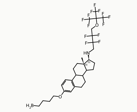 BCCCCOc1ccc2c(c1)CCC1C2CC[C@@]2(C)C1CC[C@@H]2NCC(F)(F)C(F)(F)COC(C(F)(F)F)(C(F)(F)F)C(F)(F)F